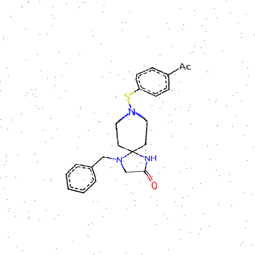 CC(=O)c1ccc(SN2CCC3(CC2)NC(=O)CN3Cc2ccccc2)cc1